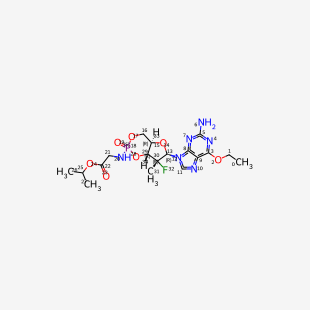 CCOc1nc(N)nc2c1ncn2[C@@H]1O[C@@H]2CO[P@@](=O)(NCC(=O)OC(C)C)O[C@H]2[C@@]1(C)F